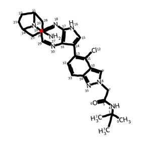 CC(C)(C)NC(=O)Cn1cc2c(Cl)c(-c3c[nH]c4nc(N5C6CCC5CC(N)C6)cnc34)ccc2n1